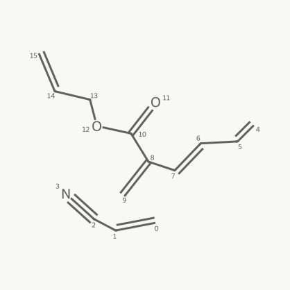 C=CC#N.C=CC=CC(=C)C(=O)OCC=C